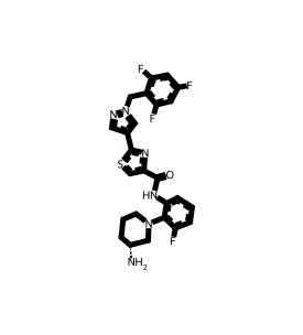 N[C@@H]1CCCN(c2c(F)cccc2NC(=O)c2csc(-c3cnn(Cc4c(F)cc(F)cc4F)c3)n2)C1